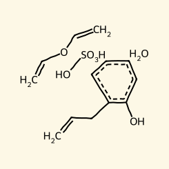 C=CCc1ccccc1O.C=COC=C.O.O=S(=O)(O)O